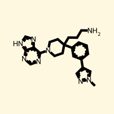 Cn1cc(-c2cccc(C3(CCCN)CCN(c4ncnc5[nH]cnc45)CC3)c2)cn1